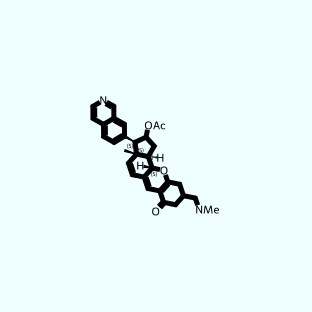 CNCC1CC(=O)C2=C(C1)O[C@@H]1C(=C2)C=C[C@]2(C)[C@@H](c3ccc4ccncc4c3)C(OC(C)=O)C[C@@H]12